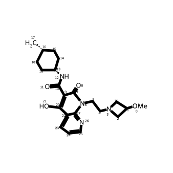 COC1CN(CCn2c(=O)c(C(=O)N[C@H]3CC[C@@H](C)CC3)c(O)c3cccnc32)C1